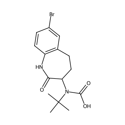 CC(C)(C)N(C(=O)O)C1CCc2cc(Br)ccc2NC1=O